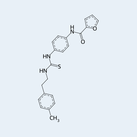 Cc1ccc(CCNC(=S)Nc2ccc(NC(=O)c3ccco3)cc2)cc1